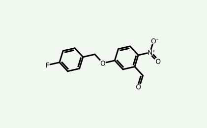 O=Cc1cc(OCc2ccc(F)cc2)ccc1[N+](=O)[O-]